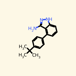 CC(C)(C)c1ccc(-c2cccc3[nH]nc(N)c23)cc1